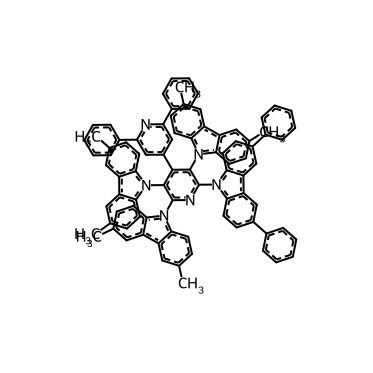 Cc1ccc2c(c1)c1cc(C)ccc1n2-c1nc(-n2c3ccc(-c4ccccc4)cc3c3cc(-c4ccccc4)ccc32)c(-n2c3ccc(C)cc3c3cc(C)ccc32)c(-c2cc(-c3ccccc3)nc(-c3ccccc3)c2)c1-n1c2ccc(C)cc2c2cc(C)ccc21